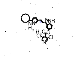 C[C@@H](Oc1ccc2[nH]nc(/C=C/c3ccc(C4(N)CCCCCCCC4)nc3)c2c1)c1c(Cl)cncc1Cl